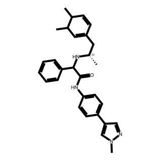 CC1C=CC(C[C@H](C)NC(C(=O)Nc2ccc(-c3cnn(C)c3)cc2)c2ccccc2)=CC1C